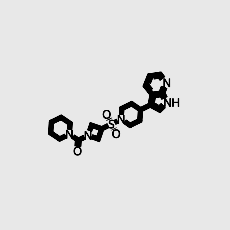 O=C(N1CCCCC1)N1CC(S(=O)(=O)N2CCC(c3c[nH]c4ncccc34)CC2)C1